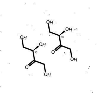 O=C(CO)[C@H](O)CO.O=C(CO)[C@H](O)CO